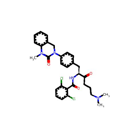 CN(C)CCCC(=O)[C@H](Cc1ccc(N2Cc3ccccc3N(C)C2=O)cc1)NC(=O)c1c(Cl)cccc1Cl